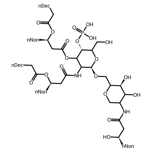 CCCCCCCCCCCC(=O)O[C@H](CCCCCCCCC)CC(=O)NC1C(OC(=O)C[C@@H](CCCCCCCCC)OC(=O)CCCCCCCCCCC)[C@H](OP(=O)(O)O)C(CO)O[C@H]1OCC1OCC(NC(=O)C[C@H](O)CCCCCCCCC)C(O)[C@@H]1O